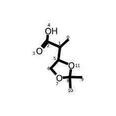 CC(C(=O)O)C1COC(C)(C)O1